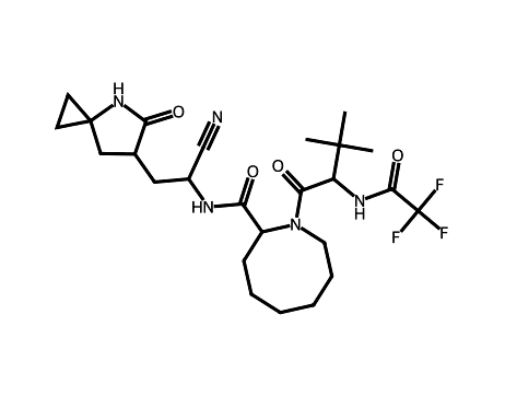 CC(C)(C)C(NC(=O)C(F)(F)F)C(=O)N1CCCCCCC1C(=O)NC(C#N)CC1CC2(CC2)NC1=O